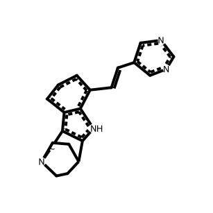 C(=Cc1cccc2c3c([nH]c12)C1CCN(CC1)C3)c1cncnc1